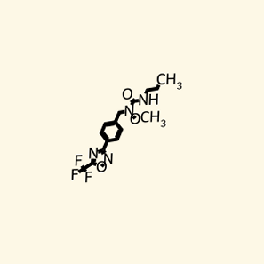 CCCNC(=O)N(Cc1ccc(-c2noc(C(F)(F)F)n2)cc1)OC